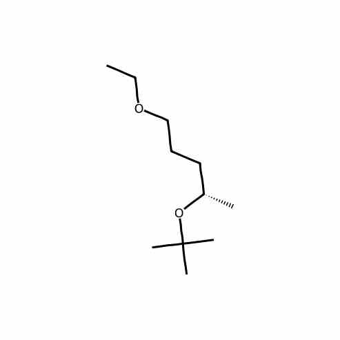 CCOCCC[C@H](C)OC(C)(C)C